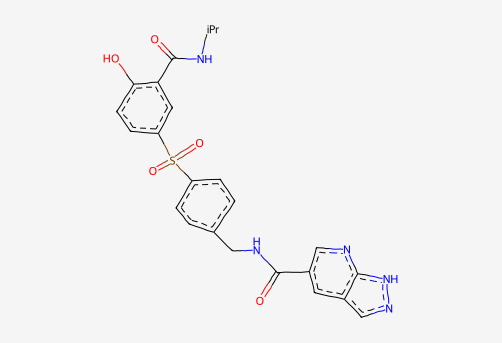 CC(C)NC(=O)c1cc(S(=O)(=O)c2ccc(CNC(=O)c3cnc4[nH]ncc4c3)cc2)ccc1O